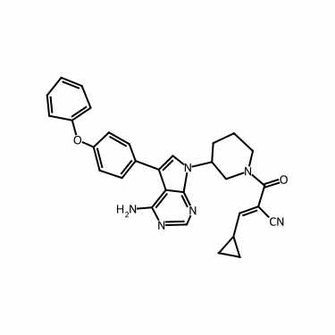 N#CC(=CC1CC1)C(=O)N1CCCC(n2cc(-c3ccc(Oc4ccccc4)cc3)c3c(N)ncnc32)C1